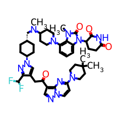 CN(C[C@H]1CC[C@H](n2cc(CC(=O)c3cnn4ccc(N5CCC(C)(C)CC5)nc34)c(C(F)F)n2)CC1)C1CCN(c2cccc3c2n(C)c(=O)n3C2CCC(=O)NC2=O)CC1